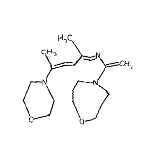 C=C(/N=C(C)\C=C(/C)N1CCOCC1)N1CCOCC1